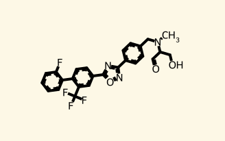 CN(Cc1ccc(-c2noc(-c3ccc(-c4ccccc4F)c(C(F)(F)F)c3)n2)cc1)C(C=O)CO